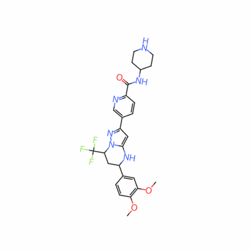 COc1ccc(C2CC(C(F)(F)F)n3nc(-c4ccc(C(=O)NC5CCNCC5)nc4)cc3N2)cc1OC